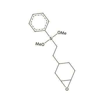 CO[Si](CCC1CCC2OC2C1)(OC)c1ccccc1